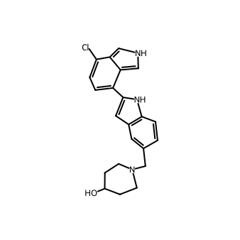 OC1CCN(Cc2ccc3[nH]c(-c4ccc(Cl)c5c[nH]cc45)cc3c2)CC1